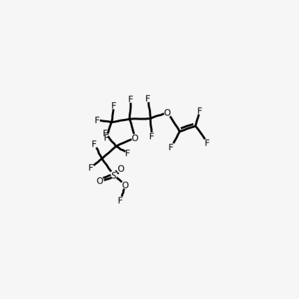 O=S(=O)(OF)C(F)(F)C(F)(F)OC(F)(C(F)(F)F)C(F)(F)OC(F)=C(F)F